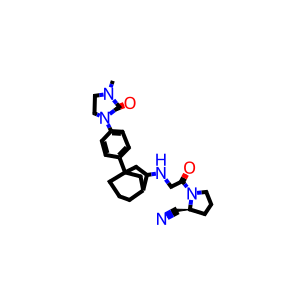 CN1CCN(c2ccc(C34CCCC(C3)C(NCC(=O)N3CCC[C@H]3C#N)C4)cc2)C1=O